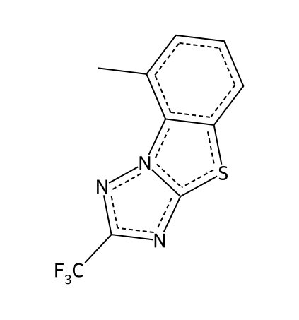 Cc1cccc2sc3nc(C(F)(F)F)nn3c12